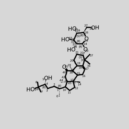 C[C@H](CC[C@@H](O)C(C)(C)O)C1CC[C@@]2(C)C3CC=C4C(CC[C@H](O[C@@H]5O[C@H](CO)[C@@H](O)[C@H](O)[C@H]5O)C4(C)C)[C@]3(C)C(=O)C[C@]12C